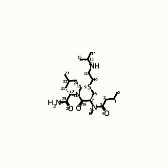 CCCC(=O)N(C)[C@H](CSCCNC(C)C)C(=O)N(C)[C@@H](CC(C)C)C(N)=O